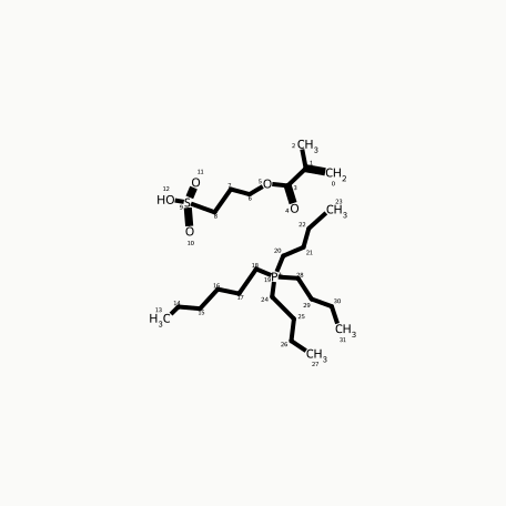 C=C(C)C(=O)OCCCS(=O)(=O)O.CCCCCC[P+](CCCC)(CCCC)CCCC